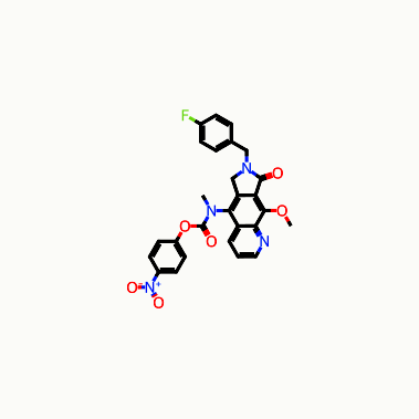 COc1c2c(c(N(C)C(=O)Oc3ccc([N+](=O)[O-])cc3)c3cccnc13)CN(Cc1ccc(F)cc1)C2=O